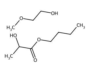 CCCCOC(=O)C(C)O.COCCO